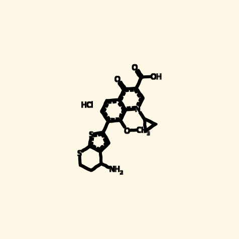 COc1c(-c2cc3c(s2)SCCC3N)ccc2c(=O)c(C(=O)O)cn(C3CC3)c12.Cl